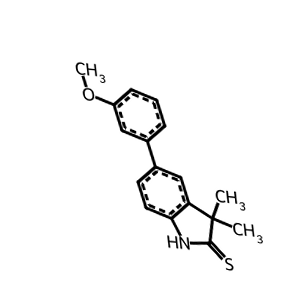 COc1cccc(-c2ccc3c(c2)C(C)(C)C(=S)N3)c1